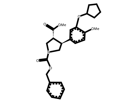 COC(=O)[C@H]1CN(C(=O)OCc2ccccc2)C[C@@H]1c1ccc(OC)c(OC2CCCC2)c1